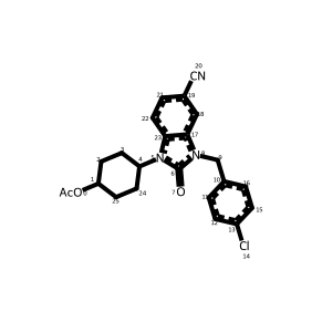 CC(=O)OC1CCC(n2c(=O)n(Cc3ccc(Cl)cc3)c3cc(C#N)ccc32)CC1